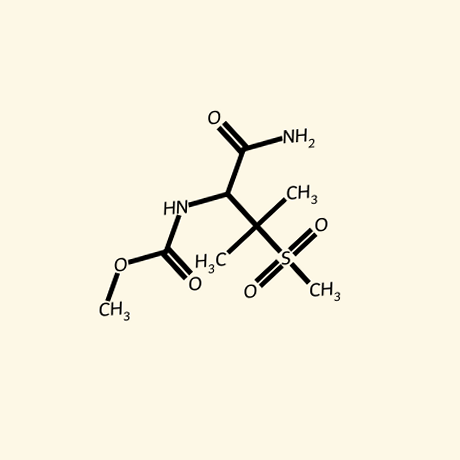 COC(=O)NC(C(N)=O)C(C)(C)S(C)(=O)=O